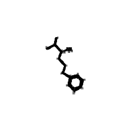 CC(C)[C@H](N)CCCc1cccnc1